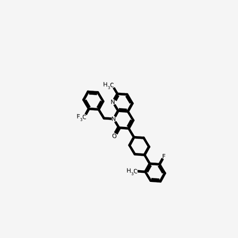 Cc1ccc2cc(C3CCC(c4c(C)cccc4F)CC3)c(=O)n(Cc3ccccc3C(F)(F)F)c2n1